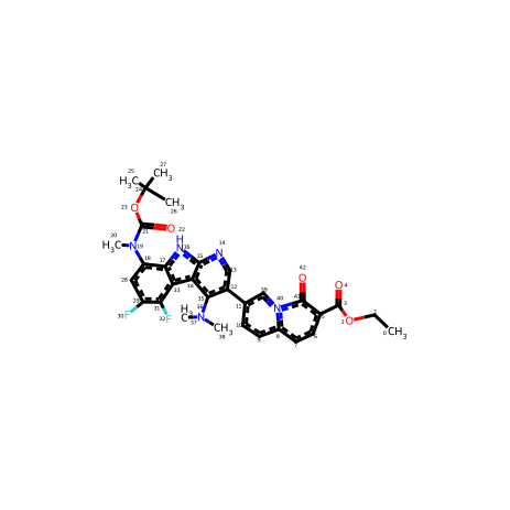 CCOC(=O)c1ccc2ccc(-c3cnc4[nH]c5c(N(C)C(=O)OC(C)(C)C)cc(F)c(F)c5c4c3N(C)C)cn2c1=O